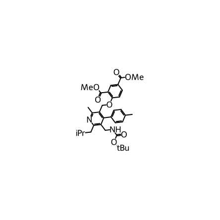 COC(=O)c1ccc(OCc2c(C)nc(CC(C)C)c(CNC(=O)OC(C)(C)C)c2-c2ccc(C)cc2)c(C(=O)OC)c1